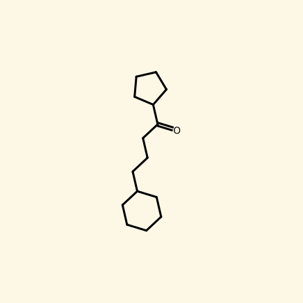 O=C(CCCC1CCCCC1)C1CCCC1